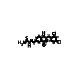 NC(=S)NN=Cc1ccc(NCCc2ccc(Cl)cc2Cl)c([N+](=O)[O-])c1